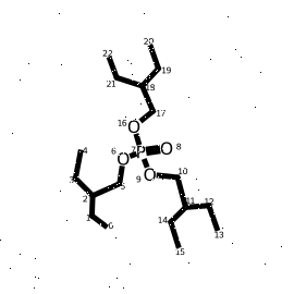 CCC(CC)COP(=O)(OCC(CC)CC)OCC(CC)CC